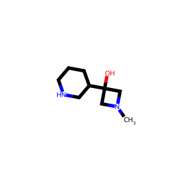 CN1CC(O)(C2CCCNC2)C1